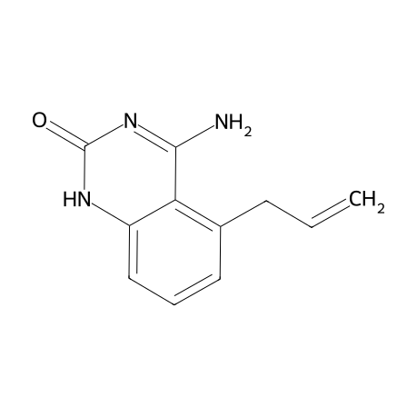 C=CCc1cccc2[nH]c(=O)nc(N)c12